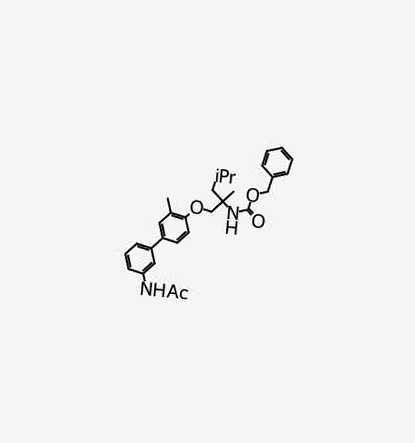 CC(=O)Nc1cccc(-c2ccc(OCC(C)(CC(C)C)NC(=O)OCc3ccccc3)c(C)c2)c1